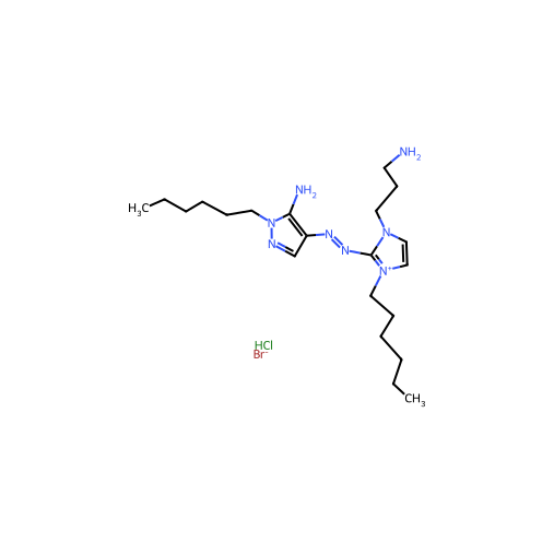 CCCCCCn1ncc(/N=N/c2n(CCCN)cc[n+]2CCCCCC)c1N.Cl.[Br-]